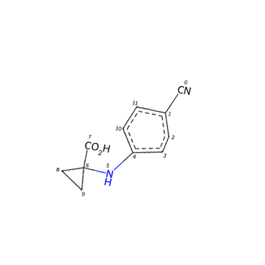 N#Cc1ccc(NC2(C(=O)O)CC2)cc1